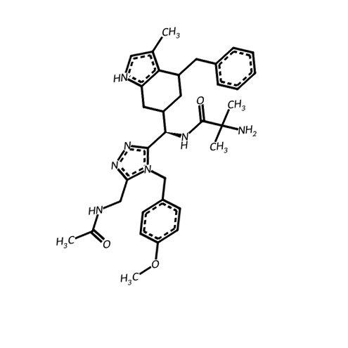 COc1ccc(Cn2c(CNC(C)=O)nnc2[C@H](NC(=O)C(C)(C)N)C2Cc3[nH]cc(C)c3C(Cc3ccccc3)C2)cc1